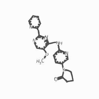 COc1cnc(-c2ccccn2)nc1Nc1ccc(N2CCCC2=O)cn1